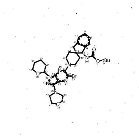 CC(C)(C)OC(=O)N[C@@H]1c2ccccc2CC12CCN(c1nc3c(nc1Br)c(N1CCOCC1)nn3C1CCCCO1)CC2